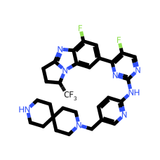 Fc1cnc(Nc2ccc(CN3CCC4(CCNCC4)CC3)cn2)nc1-c1cc(F)c2nc3n(c2c1)C(C(F)(F)F)CC3